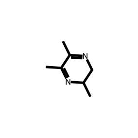 CC1=NCC(C)N=C1C